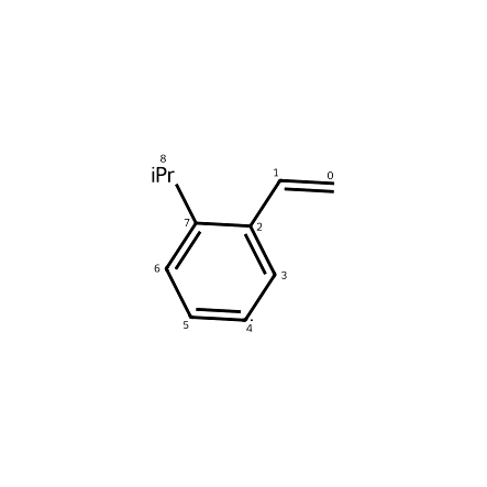 C=Cc1c[c]ccc1C(C)C